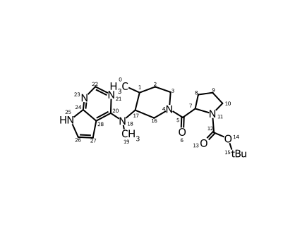 CC1CCN(C(=O)C2CCCN2C(=O)OC(C)(C)C)CC1N(C)c1ncnc2[nH]ccc12